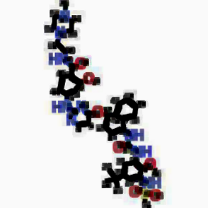 COc1cc(Nc2nccc(Oc3ccc(NC(=O)Nc4cc(C(C)(C)C)cc(NS(C)(=O)=O)c4OC)c4ccccc34)n2)ccc1C(=O)NCCN1CCN(C)CC1